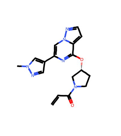 C=CC(=O)N1CC[C@@H](Oc2nc(-c3cnn(C)c3)cn3nccc23)C1